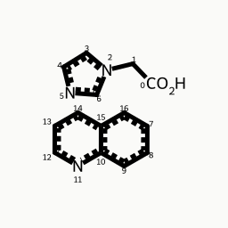 O=C(O)Cn1ccnc1.c1ccc2ncccc2c1